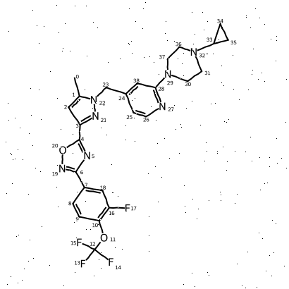 Cc1cc(-c2nc(-c3ccc(OC(F)(F)F)c(F)c3)no2)nn1Cc1ccnc(N2CCN(C3CC3)CC2)c1